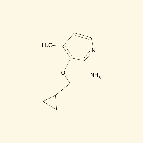 Cc1ccncc1OCC1CC1.N